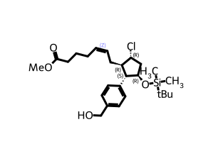 COC(=O)CCC/C=C\C[C@@H]1[C@@H](c2ccc(CO)cc2)[C@H](O[Si](C)(C)C(C)(C)C)C[C@H]1Cl